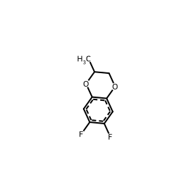 CC1COc2cc(F)c(F)cc2O1